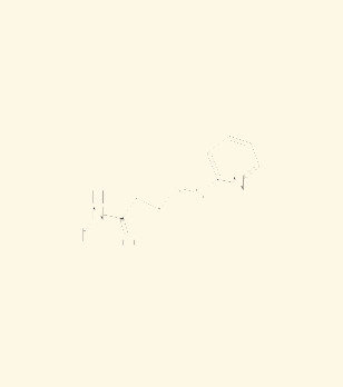 O=C(CCSSc1ccccn1)NI